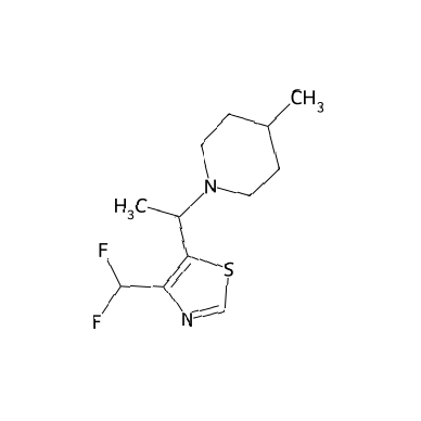 CC1CCN(C(C)c2scnc2C(F)F)CC1